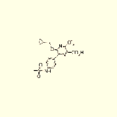 CS(=O)(=O)Nc1ccc(-c2nc(C(=O)O)c(C(F)(F)F)nc2OCC2CC2)cc1